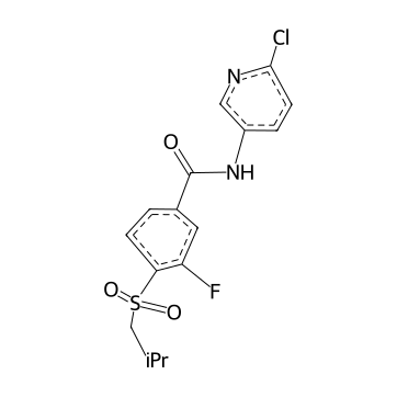 CC(C)CS(=O)(=O)c1ccc(C(=O)Nc2ccc(Cl)nc2)cc1F